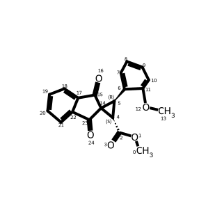 COC(=O)[C@H]1[C@H](c2ccccc2OC)C12C(=O)c1ccccc1C2=O